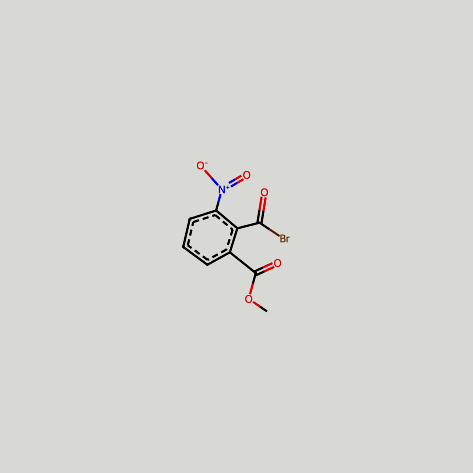 COC(=O)c1cccc([N+](=O)[O-])c1C(=O)Br